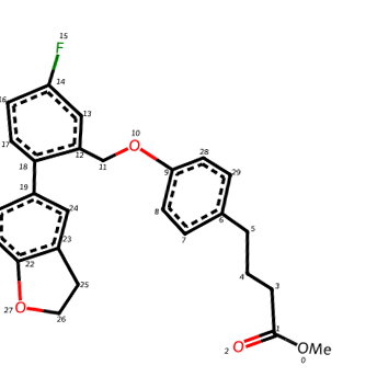 COC(=O)CCCc1ccc(OCc2cc(F)ccc2-c2ccc3c(c2)CCO3)cc1